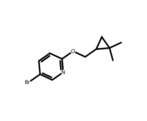 CC1(C)CC1COc1ccc(Br)cn1